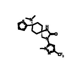 Cn1nc(C(F)(F)F)cc1N1C[C@]2(CC[C@@](c3cccs3)(N(C)C)CC2)NC1=O